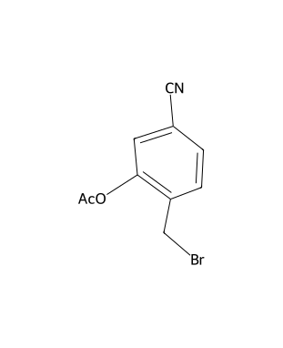 CC(=O)Oc1cc(C#N)ccc1CBr